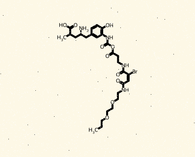 CCCOCCOCCNC(=O)/C=C(/Br)C(=O)NCCC(=O)OC(=O)Nc1cc(C[C@H](N)CC(C)C(=O)O)ccc1O